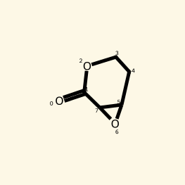 O=C1OCCC2OC12